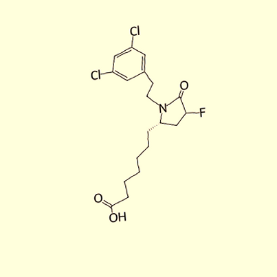 O=C(O)CCCCCC[C@H]1CC(F)C(=O)N1CCc1cc(Cl)cc(Cl)c1